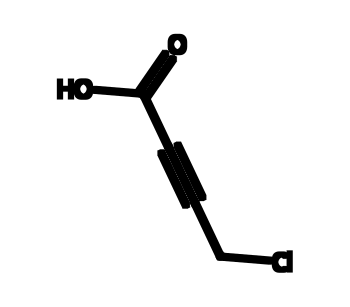 O=C(O)C#CCCl